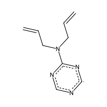 C=CCN(CC=C)c1n[c]ncn1